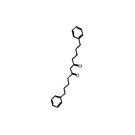 O=C(CCCCc1ccccc1)CC(=O)CCCCc1ccccc1